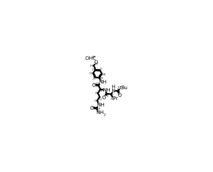 CC(C)C(NC(=O)C(C)(C)C)C(=O)NC(CCCNC(N)=O)C(=O)Nc1ccc(COC=O)cc1